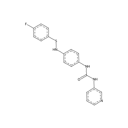 O=C(Nc1ccc(NSc2ccc(F)cc2)cc1)Nc1cccnc1